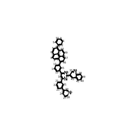 c1ccc(-c2ccc3ccc4c(-c5cccc(-c6cc(-c7cccc(-c8cccnc8)c7)nc(-c7cnc8ccccc8c7)n6)c5)ccc5ccc2c3c54)cc1